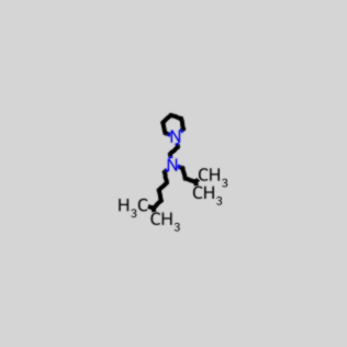 CC(C)CCCCN(CCC(C)C)CCN1CCCCC1